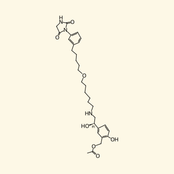 CC(=O)OCc1cc([C@@H](O)CNCCCCCCOCCCCCc2cccc(N3C(=O)CNC3=O)c2)ccc1O